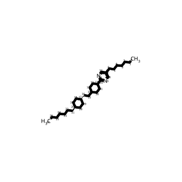 CCCCCCCc1cnc(C2CCC(CC[C@H]3CC[C@H](CCCCCCC)CC3)CC2)nc1